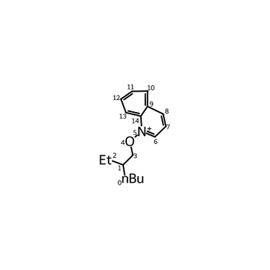 CCCCC(CC)CO[n+]1cccc2ccccc21